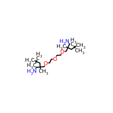 CC(C)(C)CC(C)(CN)COCCOCCOCC(C)(CN)CC(C)(C)C